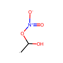 [CH2]C(O)O[N+](=O)[O-]